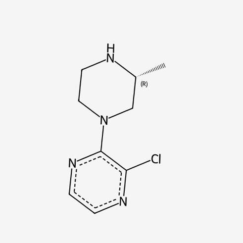 C[C@@H]1CN(c2nccnc2Cl)CCN1